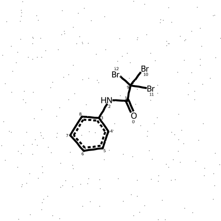 O=C(Nc1ccccc1)C(Br)(Br)Br